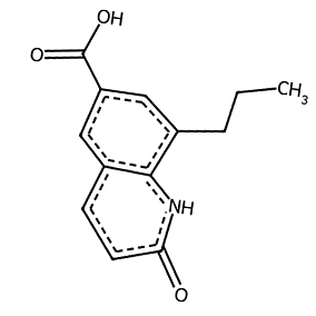 CCCc1cc(C(=O)O)cc2ccc(=O)[nH]c12